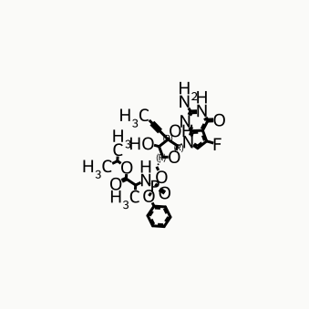 CC#C[C@@]1(O)C(O)[C@@H](COP(=O)(NC(C)C(=O)OC(C)C)Oc2ccccc2)O[C@H]1n1cc(F)c2c(=O)[nH]c(N)nc21